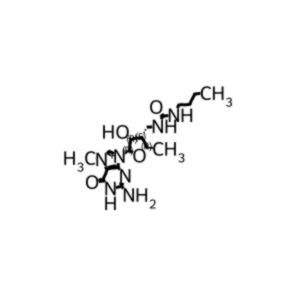 CCCCNC(=O)NC[C@H]1[C@@H](O)[C@H](n2c[n+](C)c3c(=O)[nH]c(N)nc32)O[C@@H]1C